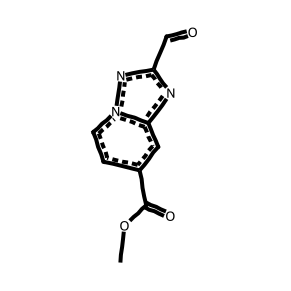 COC(=O)c1ccn2nc(C=O)nc2c1